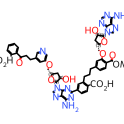 COC(=O)c1ccc(CCCc2cc(-c3nc(N)c4ncn([C@@H]5O[C@H](COc6cncc(CCC(=O)c7ccccc7C(=O)O)c6)C[C@H]5O)c4n3)ccc2C(=O)O)cc1OC[C@@H]1C[C@@H](O)[C@H](n2cnc3c(N)ncnc32)O1